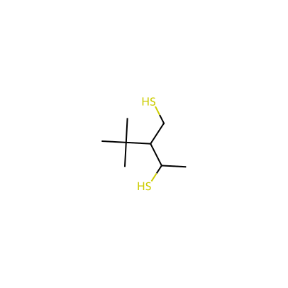 CC(S)C(CS)C(C)(C)C